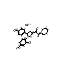 Br.O=C(NN1CCCCC1)C1=NN(c2ccc(Cl)cc2Cl)C(c2ccc(Cl)cc2)C1